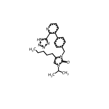 CCCCCc1cn(C(C)C)c(=O)n1Cc1ccc(-c2cccnc2-c2nnn[nH]2)cc1